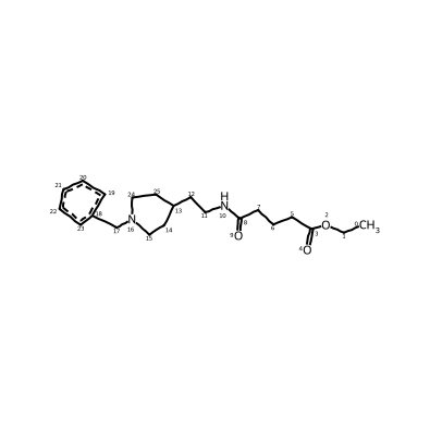 CCOC(=O)CCCC(=O)NCCC1CCN(Cc2ccccc2)CC1